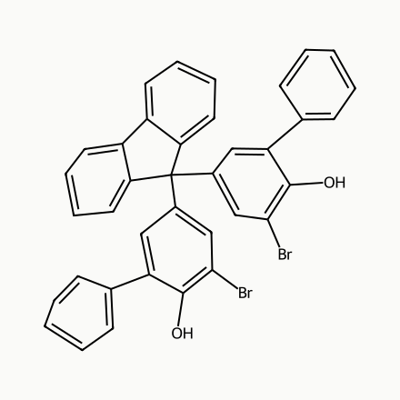 Oc1c(Br)cc(C2(c3cc(Br)c(O)c(-c4ccccc4)c3)c3ccccc3-c3ccccc32)cc1-c1ccccc1